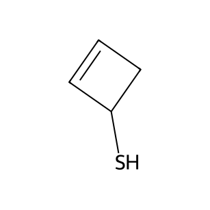 SC1C=CC1